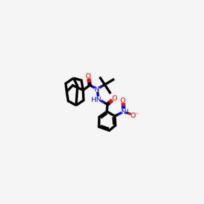 CC(C)(C)N(NC(=O)c1ccccc1[N+](=O)[O-])C(=O)C12CC3CC(CC(C3)C1)C2